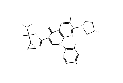 O=C(NC(F)(C(F)F)C1CC1)c1cn(-c2ncc(F)cc2F)c2nc(N3CC[C@H](O)C3)c(F)cc2c1=O